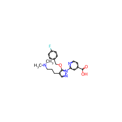 CN(C)CCCc1cnn(-c2cc(C(=O)O)ccn2)c1OCc1ccc(F)cc1